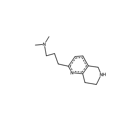 CN(C)CCCc1ccc2c(n1)CCNC2